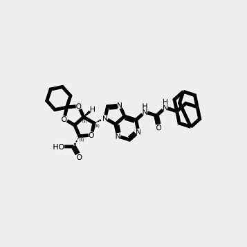 O=C(Nc1ncnc2c1ncn2[C@@H]1O[C@H](C(=O)O)C2OC3(CCCCC3)O[C@@H]21)NC12CC3CC(CC(C3)C1)C2